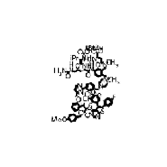 COc1ccc(COC(=O)[C@@H](Cc2ccccc2OCc2ccnc(-c3ccccc3OC)n2)Oc2ncnc3sc(-c4ccc(F)cc4)c(-c4ccc(OCCN5CC[N+](C)(Cc6ccc(NC(=O)[C@H](CCCNC(N)=O)NC(=O)[C@@H](NC(=O)OC(C)(C)C)C(C)C)cc6CN(C)C(=O)C[C@H](N)C(=O)OC(C)(C)C)CC5)c(Cl)c4C)c23)cc1